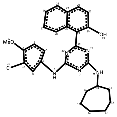 COc1ccc(Nc2nc(NC3CCCCCC3)nc(-c3c(O)ccc4ccccc34)n2)cc1Cl